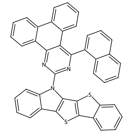 c1ccc2c(-c3nc(-n4c5ccccc5c5sc6c7ccccc7sc6c54)nc4c5ccccc5c5ccccc5c34)cccc2c1